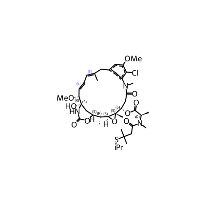 COc1cc2cc(c1Cl)N(C)C(=O)C[C@H](OC(=O)[C@@H](C)N(C)C(=O)CC(C)(C)SC(C)C)[C@]1(C)O[C@H]1[C@H](C)[C@@H]1C[C@@](O)(NC(=O)O1)[C@H](OC)/C=C/C=C(\C)C2